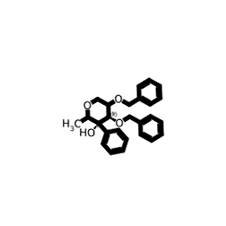 CC1OCC(OCc2ccccc2)[C@@H](OCc2ccccc2)[C@@]1(O)c1ccccc1